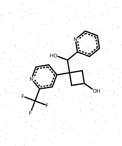 OC1CC(c2ccnc(C(F)(F)F)c2)(C(O)c2ccccn2)C1